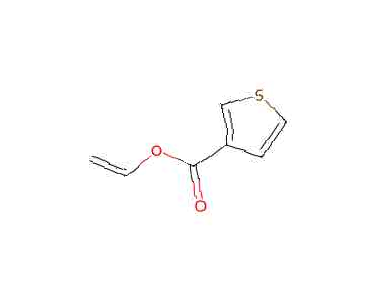 C=COC(=O)c1ccsc1